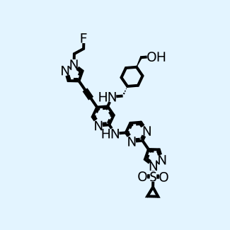 O=S(=O)(C1CC1)n1cc(-c2nccc(Nc3cc(NC[C@H]4CC[C@H](CO)CC4)c(C#Cc4cnn(CCF)c4)cn3)n2)cn1